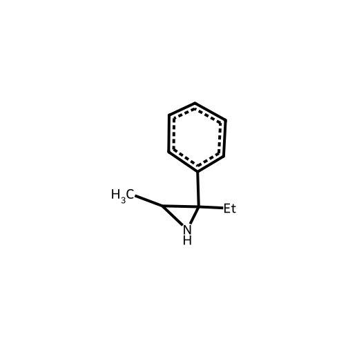 CCC1(c2ccccc2)NC1C